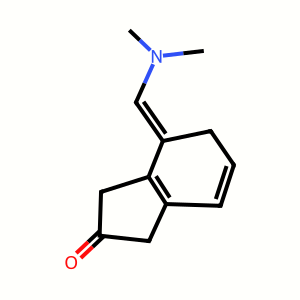 CN(C)C=C1CC=CC2=C1CC(=O)C2